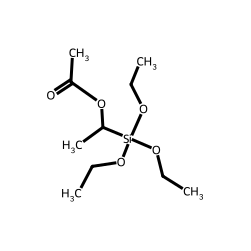 CCO[Si](OCC)(OCC)C(C)OC(C)=O